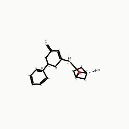 O=C1C=C(NC2C[C@]34CC[C@@H](C3)C24)CC(c2ccccc2)C1